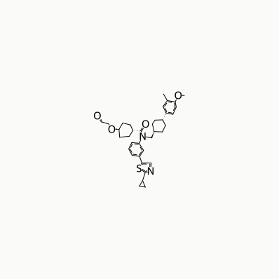 COc1ccc([C@H]2CC[C@H](CN(c3cccc(-c4cnc(C5CC5)s4)c3)C(=O)[C@H]3CC[C@H](OCC=O)CC3)CC2)cc1C